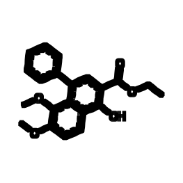 CCOC(=O)c1cc(-c2ccccc2)c2c(OC)c(OC)ccc2c1O